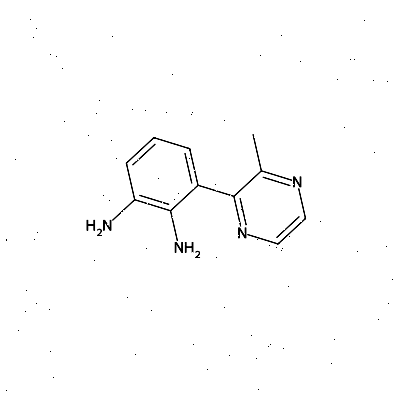 Cc1nccnc1-c1cccc(N)c1N